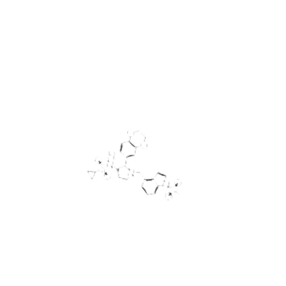 CS(=O)(=O)n1ccc2c(CN3CC[C@H](NS(=O)(=O)C4CC4)C3c3ccc4c(c3)OCCO4)cccc21